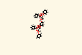 O=C(OC(COc1ccccc1)COc1cccc(OCC(COc2ccccc2)OC(=O)c2ccccc2)c1)c1ccccc1